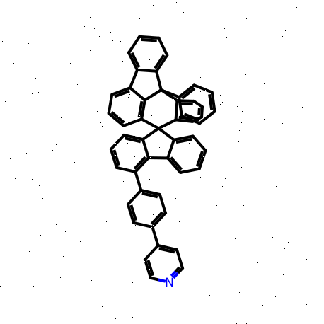 c1ccc(C23c4ccccc4-c4cccc(c42)C2(c4ccccc4-c4c(-c5ccc(-c6ccncc6)cc5)cccc42)c2ccccc23)cc1